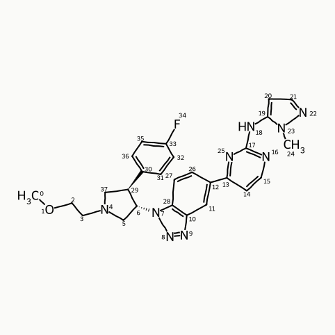 COCCN1C[C@@H](n2nnc3cc(-c4ccnc(Nc5ccnn5C)n4)ccc32)[C@H](c2ccc(F)cc2)C1